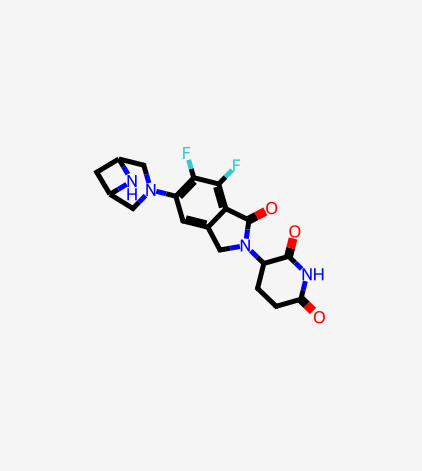 O=C1CCC(N2Cc3cc(N4CC5CC(C4)N5)c(F)c(F)c3C2=O)C(=O)N1